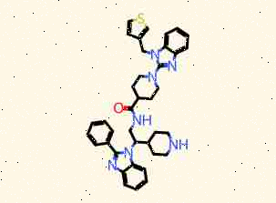 O=C(NCC(C1CCNCC1)n1c(-c2ccccc2)nc2ccccc21)C1CCN(c2nc3ccccc3n2Cc2ccsc2)CC1